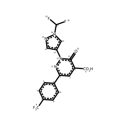 O=C(O)c1cc(-c2ccc(C(F)(F)F)cc2)nn(-c2cnn(C(F)F)c2)c1=O